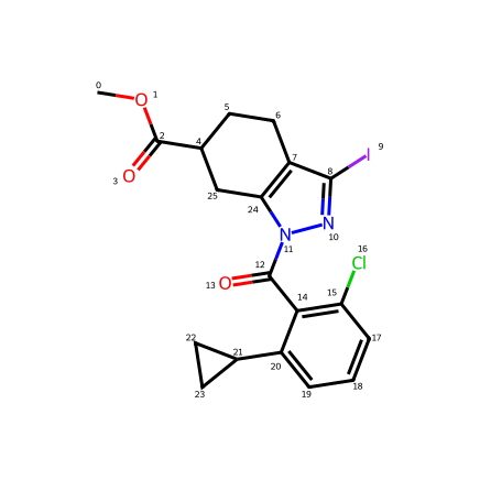 COC(=O)C1CCc2c(I)nn(C(=O)c3c(Cl)cccc3C3CC3)c2C1